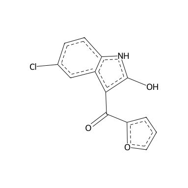 O=C(c1ccco1)c1c(O)[nH]c2ccc(Cl)cc12